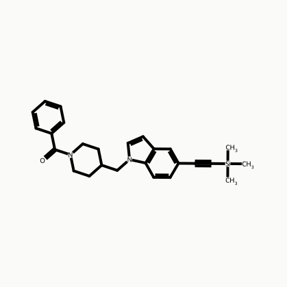 C[Si](C)(C)C#Cc1ccc2c(ccn2CC2CCN(C(=O)c3ccccc3)CC2)c1